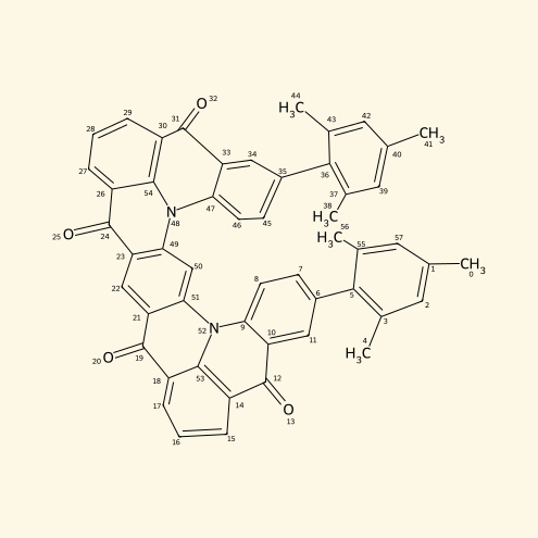 Cc1cc(C)c(-c2ccc3c(c2)c(=O)c2cccc4c(=O)c5cc6c(=O)c7cccc8c(=O)c9cc(-c%10c(C)cc(C)cc%10C)ccc9n(c6cc5n3c24)c87)c(C)c1